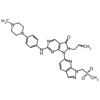 C=CCn1c(=O)c2cnc(Nc3ccc(N4CCN(C)CC4)cc3)nc2n1-c1ccc2cnn(CS(C)(=O)=O)c2n1